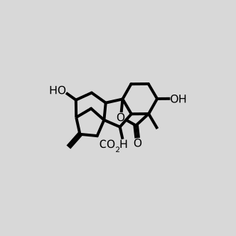 C=C1CC23CC1C(O)CC2C12CCC(O)C(C)(C(=O)O1)C2C3C(=O)O